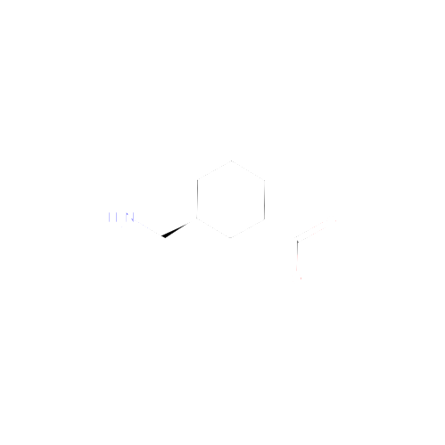 NC[C@H]1CCC[C@H](C(=O)O)C1